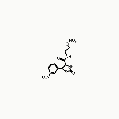 O=C1NC(C(=O)NCCO[N+](=O)[O-])C(c2cccc([N+](=O)[O-])c2)S1